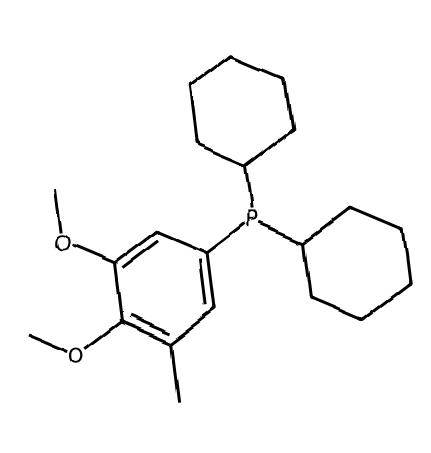 COc1cc(P(C2CCCCC2)C2CCCCC2)cc(C)c1OC